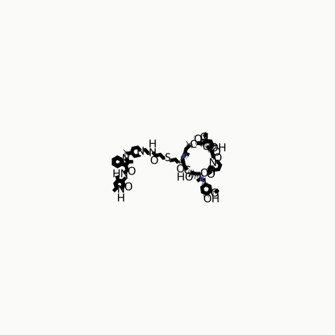 CO[C@H]1C[C@@H](C)C/C(C)=C/[C@@H](CCCSCCC(=O)NCCN2CCC([C@@H](C)n3c(C)c(C(=O)NCc4c(C)cc(C)[nH]c4=O)c4ccccc43)CC2)C(=O)C[C@H](O)[C@@H](C)[C@@H](/C(C)=C/[C@@H]2CC[C@@H](O)[C@H](OC)C2)OC(=O)[C@@H]2CCCCN2C(=O)C(=O)[C@]2(O)O[C@H]1[C@@H](OC)C[C@H]2C